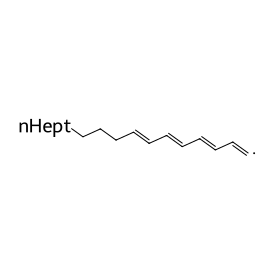 [CH]=C/C=C/C=C/C=C/CCCCCCCCCC